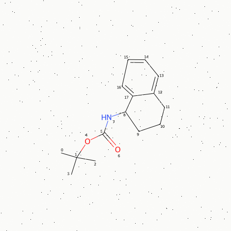 CC(C)(C)OC(=O)NC1CCCc2ccccc21